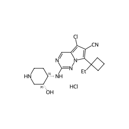 CCC1(c2c(C#N)c(Cl)c3cnc(N[C@H]4CCNC[C@H]4O)nn23)CCC1.Cl